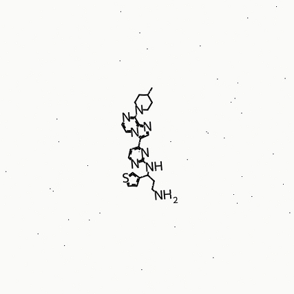 CC1CCN(c2nccn3c(-c4ccnc(NC(CCN)c5ccsc5)n4)cnc23)CC1